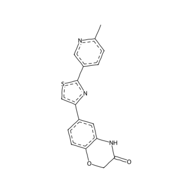 Cc1ccc(-c2nc(-c3ccc4c(c3)NC(=O)CO4)cs2)cn1